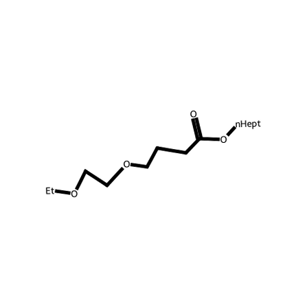 CCCCCCCOC(=O)CCCOCCOCC